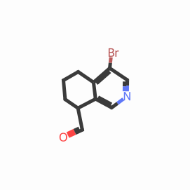 O=CC1CCCc2c(Br)cncc21